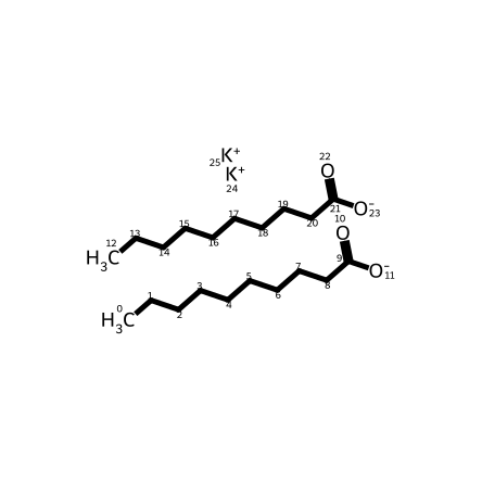 CCCCCCCCCC(=O)[O-].CCCCCCCCCC(=O)[O-].[K+].[K+]